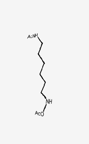 CC(=O)NCCCCCCNOC(C)=O